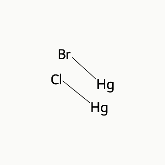 [Br][Hg].[Cl][Hg]